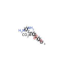 Nc1ccc(N)c(CCC(=Cc2ccc(OC(=O)c3ccc(OC(F)(F)F)cc3)cc2)C(=O)O)c1